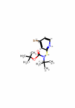 CC(C)(C)OC(=O)N(Sc1cc(Br)ccn1)C(C)(C)C